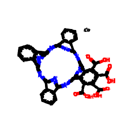 O=C(O)c1c(C(=O)O)c(C(=O)O)c2c3nc4nc(nc5[nH]c(nc6nc(nc([nH]3)c2c1C(=O)O)-c1ccccc1-6)c1ccccc51)-c1ccccc1-4.[Co]